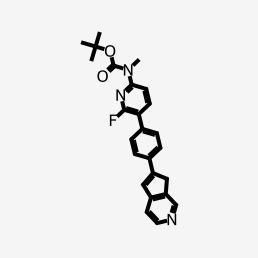 CN(C(=O)OC(C)(C)C)c1ccc(-c2ccc(C3=Cc4ccncc4C3)cc2)c(F)n1